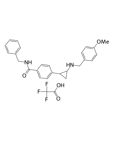 COc1ccc(CNC2CC2c2ccc(C(=O)NCc3ccccc3)cc2)cc1.O=C(O)C(F)(F)F